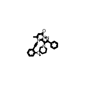 COc1ccccc1C#Cn1c(C)cc(=O)n2nc(-c3ccccc3)c(N3CCCCC3)c12